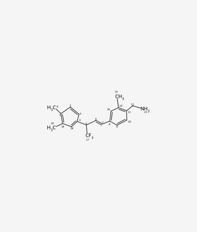 Cc1ccc(C(/C=C/c2ccc(CN)c(C)c2)C(F)(F)F)cc1C